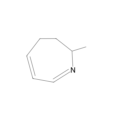 CC1CCC=CC=N1